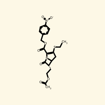 CCSC1=C(C(=O)OCc2ccc([N+](=O)[O-])cc2)N2C(=O)[C@@H](CCOC(C)=O)C2C1